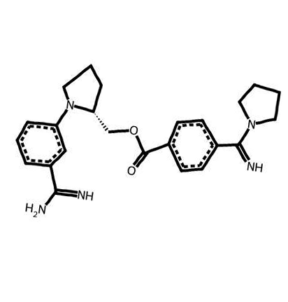 N=C(N)c1cccc(N2CCC[C@@H]2COC(=O)c2ccc(C(=N)N3CCCC3)cc2)c1